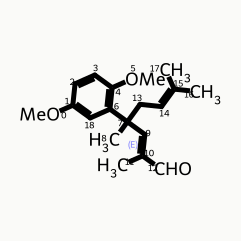 COc1ccc(OC)c(C(C)(/C=C(\C)C=O)CC=C(C)C)c1